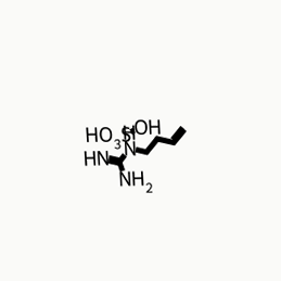 C=CCCNC(=N)N.O=S(=O)(O)O